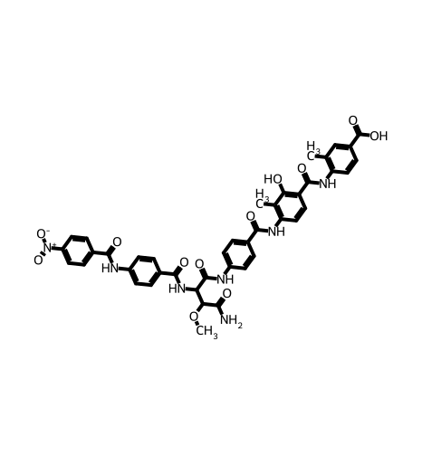 COC(C(N)=O)C(NC(=O)c1ccc(NC(=O)c2ccc([N+](=O)[O-])cc2)cc1)C(=O)Nc1ccc(C(=O)Nc2ccc(C(=O)Nc3ccc(C(=O)O)cc3C)c(O)c2C)cc1